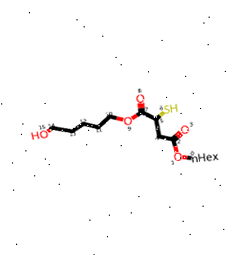 CCCCCCOC(=O)CC(S)C(=O)OCCCCCO